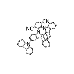 N#Cc1ccc(C#N)c(-n2c3ccc(-n4c5ccccc5c5ccccc54)cc3c3c4ccccc4ccc32)c1-n1c2ccccc2c2ccccc21